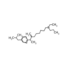 C=C(CCCCCCB(CC)CCC)C(C)c1ccc(CC(C)C)cc1